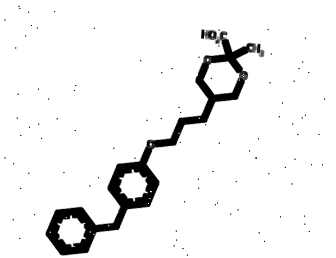 CC1(C(=O)O)OCC(CCCOc2ccc(Cc3ccccc3)cc2)CO1